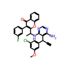 C#CC(c1cc(Cl)cc(OC)c1)c1c(N)ncnc1NC(C)c1oc2ccccc2c(=O)c1-c1cccc(F)c1